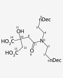 CCCCCCCCCCCCN(CCCCCCCCCCCC)C(=O)CC(O)(CC(=O)O)C(=O)O